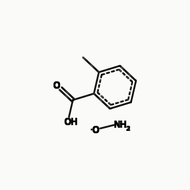 Cc1ccccc1C(=O)O.N[O]